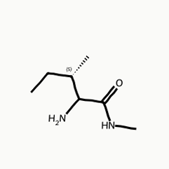 CC[C@H](C)C(N)C(=O)NC